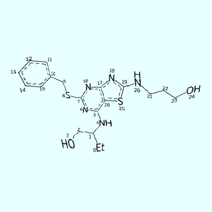 CCC(CO)Nc1nc(SCc2ccccc2)nc2nc(NCCCO)sc12